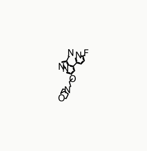 N#Cc1cnn2cc(OCCN3CC4CC3CO4)cc(-c3ccc(F)nc3)c12